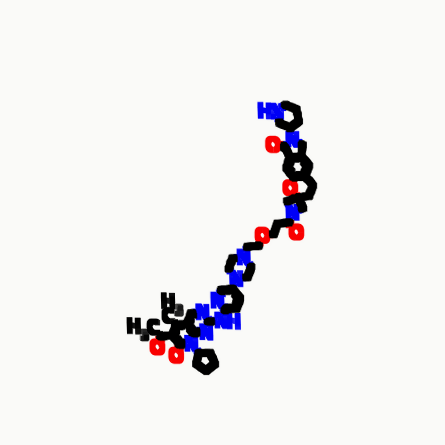 CC(=O)c1c(C)c2cnc(Nc3ccc(N4CCN(CCOCCC(=O)N5CC6(CCc7cc8c(cc7O6)C(=O)N(C6CCCNC6)C8)C5)CC4)cn3)nc2n(C2CCCC2)c1=O